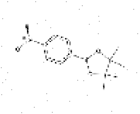 C[S@+]([O-])c1ccc(B2OC(C)(C)C(C)(C)O2)cc1